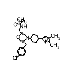 Cc1cc(C2CCC(N3C[C@H](CNS(C)(=O)=O)OC[C@@H]3Cc3ccc(Cl)cc3)CC2)nn1C